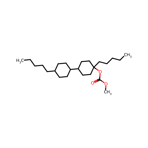 CCCCCC1CCC(C2CCC(CCCCC)(OC(=O)OC)CC2)CC1